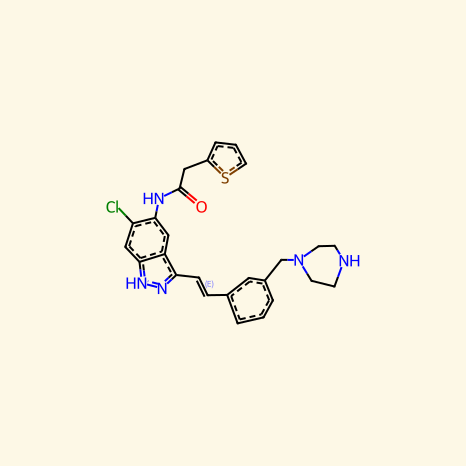 O=C(Cc1cccs1)Nc1cc2c(/C=C/c3cccc(CN4CCNCC4)c3)n[nH]c2cc1Cl